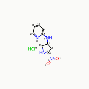 Cl.O=[N+]([O-])[C@H]1CC(Nc2ccccn2)CN1